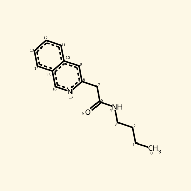 CCCCNC(=O)Cc1cc2ccccc2cn1